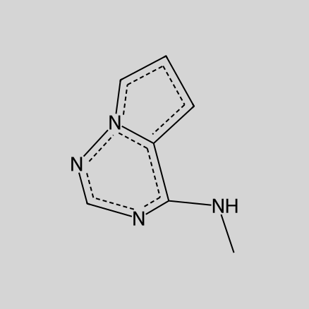 CNc1ncnn2cccc12